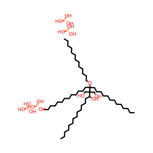 CCCCCCCCCCCCCOC(CCCCCCCCCCCCC)(CCCCCCCCCCCCC)C(CO)(CO)C(O)CCCCCCCCCCCCC.OP(O)O.OP(O)O.OP(O)O.OP(O)O